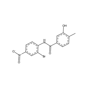 Cc1ccc(C(=O)Nc2ccc([N+](=O)[O-])cc2Br)cc1O